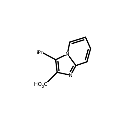 CC(C)c1c(C(=O)O)nc2ccccn12